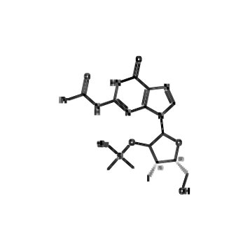 CC(C)C(=O)Nc1nc2c(ncn2C2O[C@H](CO)[C@H](I)C2O[Si](C)(C)C(C)(C)C)c(=O)[nH]1